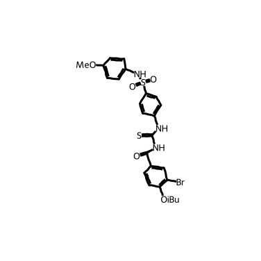 COc1ccc(NS(=O)(=O)c2ccc(NC(=S)NC(=O)c3ccc(OCC(C)C)c(Br)c3)cc2)cc1